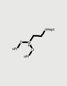 CCCCCCCCC[SiH](OCCC)OCCC